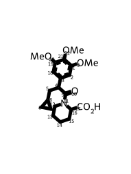 COc1cc(C(CC2CC2)C(=O)N2CCCCC2C(=O)O)cc(OC)c1OC